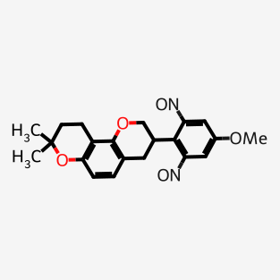 COc1cc(N=O)c(C2COc3c(ccc4c3CCC(C)(C)O4)C2)c(N=O)c1